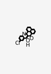 O=C1c2c(nc3ccc(Cl)cc3c2O)-c2cccc3cccc1c23